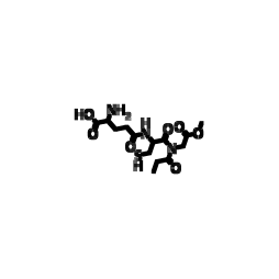 CCC(=O)N(CC(=O)OC)C(=O)C(CS)NC(=O)CCC(N)C(=O)O